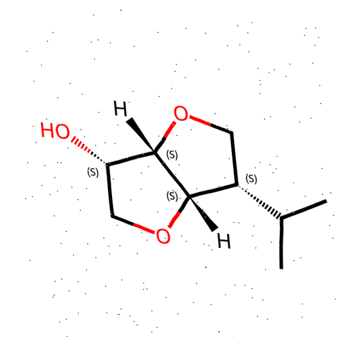 CC(C)[C@H]1CO[C@@H]2[C@H]1OC[C@@H]2O